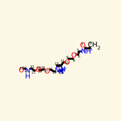 C=CC(=O)NCCOCCOCc1cn(CCOCCOCCNC=O)nn1